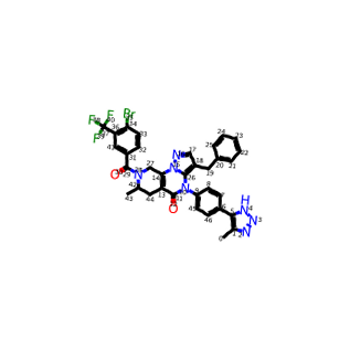 Cc1nn[nH]c1-c1ccc(-n2c(=O)c3c(n4ncc(Cc5ccccc5)c24)CN(C(=O)c2ccc(Br)c(C(F)(F)F)c2)C(C)C3)cc1